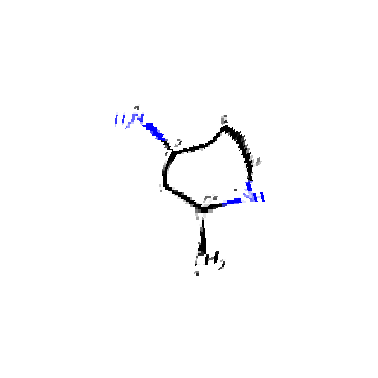 C[C@H]1C[C@@H](N)CCN1